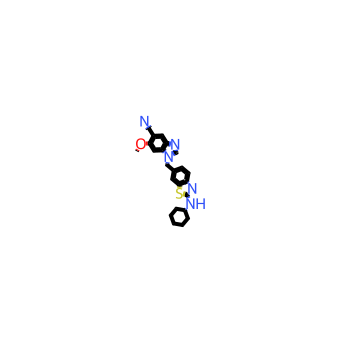 COc1cc2c(cc1C#N)ncn2Cc1ccc2nc(NC3CCCCC3)sc2c1